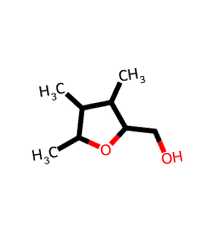 CC1OC(CO)C(C)C1C